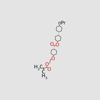 C=C(C)C(=O)OCCO[C@H]1CC[C@H](C(=O)OC2CCC([C@H]3CC[C@H](CCC)CC3)CC2)CC1